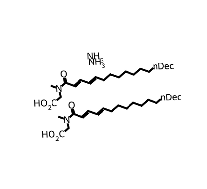 CCCCCCCCCCCCCCCCCC=CC=CC(=O)N(C)CC(=O)O.CCCCCCCCCCCCCCCCCC=CC=CC(=O)N(C)CC(=O)O.N.N